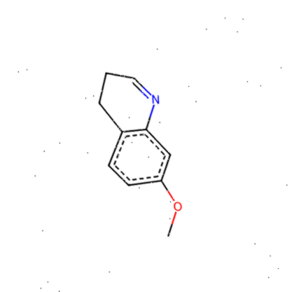 COc1ccc2c(c1)N=CCC2